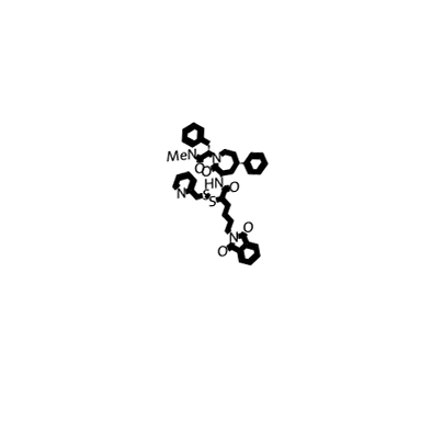 CNC(=O)[C@H](Cc1ccccc1)N1CC[C@H](c2ccccc2)C[C@H](NC(=O)C(CCCCN2C(=O)c3ccccc3C2=O)SSCc2ccccn2)C1=O